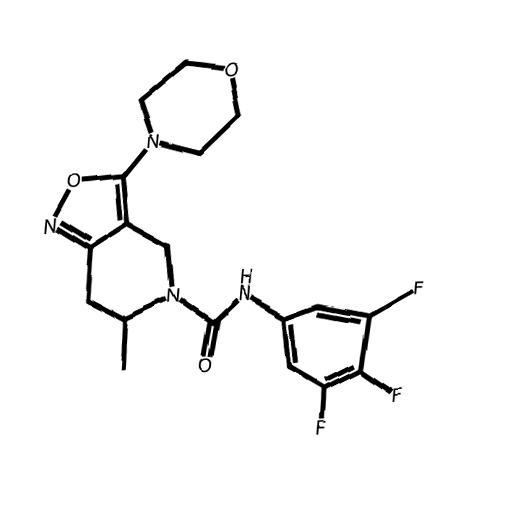 CC1Cc2noc(N3CCOCC3)c2CN1C(=O)Nc1cc(F)c(F)c(F)c1